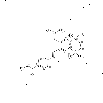 COC(=O)c1ccc(/C=C/c2cc3c(cc2CC(C)C)C(C)(C)CCC3(C)C)cc1